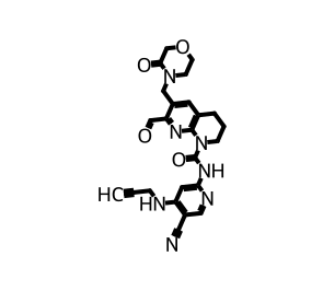 C#CCNc1cc(NC(=O)N2CCCc3cc(CN4CCOCC4=O)c(C=O)nc32)ncc1C#N